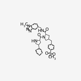 Cn1nnc2cc(CNC(=O)C3CC(Cc4ccc(S(C)(=O)=O)cc4)CN3C(=O)C3CC(c4ccccc4)CN3)ccc21